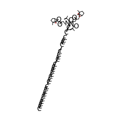 C=C=C=C=C=C=C=C=C=C=C=C=C=C=C=C=C=C=C=C=C=C=C=C=C=C=C=C=C=C=C=C=C=C=C=C(N(CCC(=O)CC1CC2(C)CCC1C2(C)C)C(=O)C(=C)C)N(CCC(=O)OC1CC2(C)CCC1C2(C)C)C(=O)C(=C)C